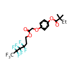 CCC(C)(C)C(=O)Oc1ccc(OCC(=O)OCCC(F)(F)C(F)(F)C(F)(F)C(F)(F)F)cc1